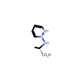 C[C@H](NN1C=CC=CN1)C(=O)O